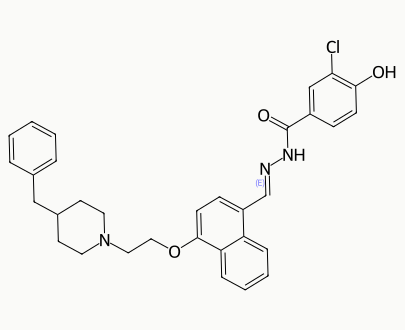 O=C(N/N=C/c1ccc(OCCN2CCC(Cc3ccccc3)CC2)c2ccccc12)c1ccc(O)c(Cl)c1